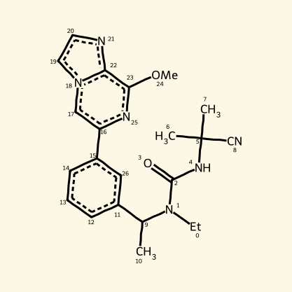 CCN(C(=O)NC(C)(C)C#N)C(C)c1cccc(-c2cn3ccnc3c(OC)n2)c1